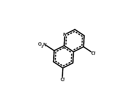 O=[N+]([O-])c1cc(Cl)cc2c(Cl)ccnc12